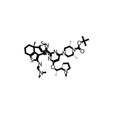 C[C@H](Oc1cc(N2C[C@@H](C)N(C(=O)OC(C)(C)C)[C@@H](C)C2)nc(-c2cc([C@@]3(C)CCCc4sc(/N=C/N(C)C)c(C#N)c43)sn2)n1)[C@@H]1CCCN1C